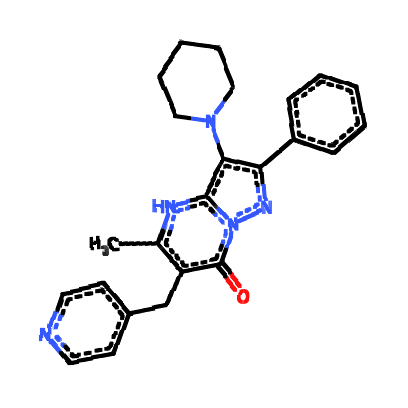 Cc1[nH]c2c(N3CCCCC3)c(-c3ccccc3)nn2c(=O)c1Cc1ccncc1